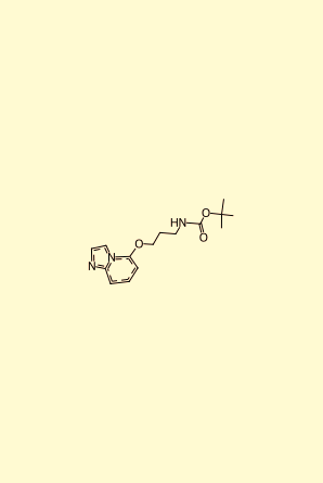 CC(C)(C)OC(=O)NCCCOc1cccc2nccn12